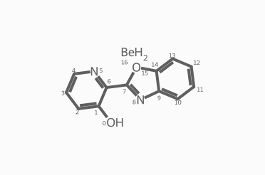 Oc1cccnc1-c1nc2ccccc2o1.[BeH2]